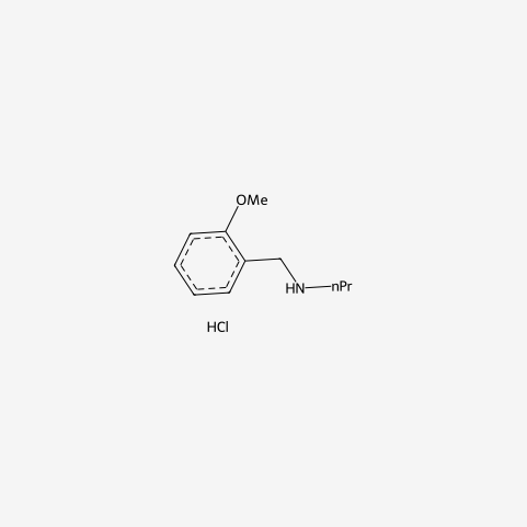 CCCNCc1ccccc1OC.Cl